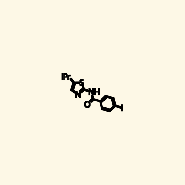 CC(C)c1cnc(NC(=O)c2ccc(I)cc2)s1